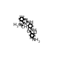 CN(C)c1nc(N[C@H]2CC[C@@H](NC(=O)c3ccc(N)cc3Cl)CC2)nc2ccccc12